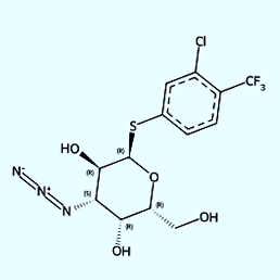 [N-]=[N+]=N[C@@H]1[C@@H](O)[C@@H](Sc2ccc(C(F)(F)F)c(Cl)c2)O[C@H](CO)[C@@H]1O